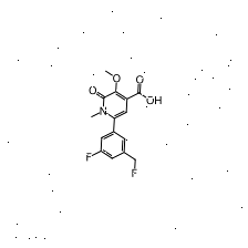 COc1c(C(=O)O)cc(-c2cc(F)cc(CF)c2)n(C)c1=O